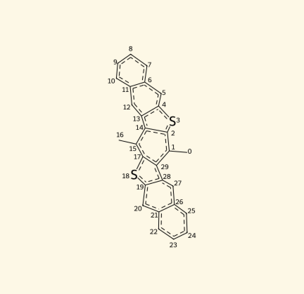 Cc1c2sc3cc4ccccc4cc3c2c(C)c2sc3cc4ccccc4cc3c12